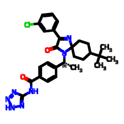 C[C@H](c1ccc(C(=O)Nc2nn[nH]n2)cc1)N1C(=O)C(c2cccc(Cl)c2)=NC12CCC(C(C)(C)C)CC2